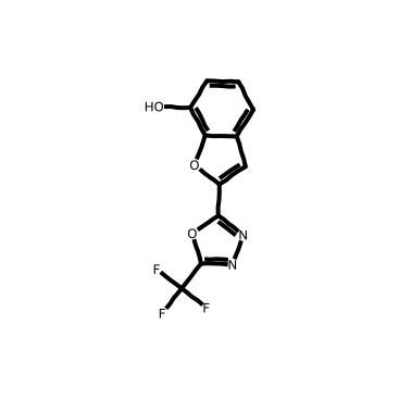 Oc1cccc2cc(-c3nnc(C(F)(F)F)o3)oc12